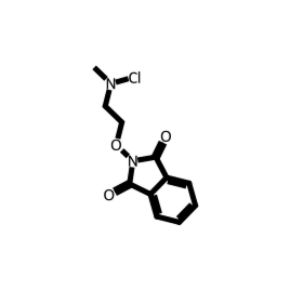 CN(Cl)CCON1C(=O)c2ccccc2C1=O